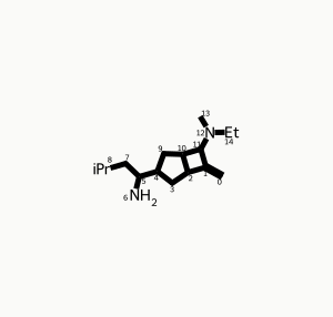 C=C1C2CC(C(N)CC(C)C)CC2C1N(C)CC